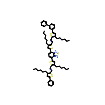 CCCCCCc1cc(-c2ccccc2)sc1/C=C/c1sc(-c2ccc(-c3cc(CCCCCC)c(/C=C/c4sc(-c5cccc(-c6ccccc6)c5)cc4CCCCCC)s3)c3nsnc23)cc1CCCCCC